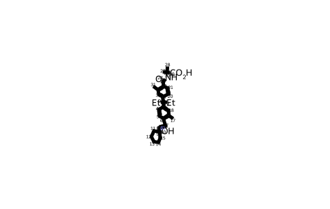 CCC(CC)(c1ccc(/C=C/C2(O)CCCCC2)c(C)c1)c1ccc(C(=O)NC(C)(C)C(=O)O)c(C)c1